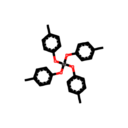 Cc1ccc([O][Hf]([O]c2ccc(C)cc2)([O]c2ccc(C)cc2)[O]c2ccc(C)cc2)cc1